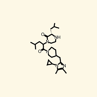 Cc1nc(CC2CCN(C(=O)C(CC(C)C)N3CCN[C@@H](CC(C)C)C3=O)CC2)n(C2CC2)c1C